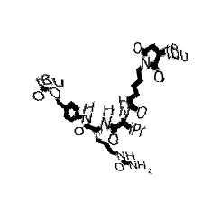 CC(C)C(NC(=O)CCCCCN1C(=O)CC(C(C)(C)C)C1=O)C(=O)N[C@H](CCCNC(N)=O)C(=O)Nc1ccc(COC(=O)C(C)(C)C)cc1